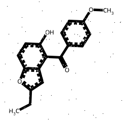 CCc1cc2c(C(=O)c3ccc(OC)cc3)c(O)ccc2o1